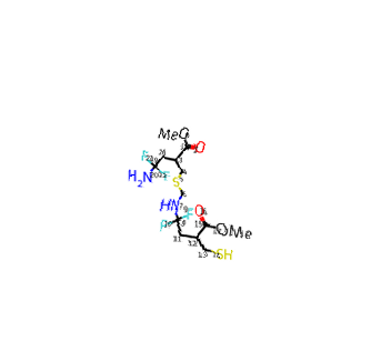 COC(=O)C(CSCNC(F)(F)CC(CS)C(=O)OC)CC(N)(F)F